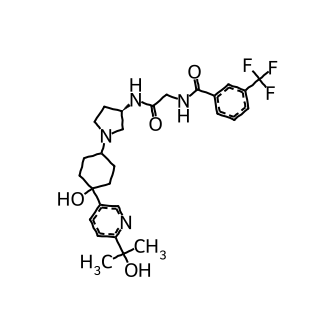 CC(C)(O)c1ccc(C2(O)CCC(N3CC[C@@H](NC(=O)CNC(=O)c4cccc(C(F)(F)F)c4)C3)CC2)cn1